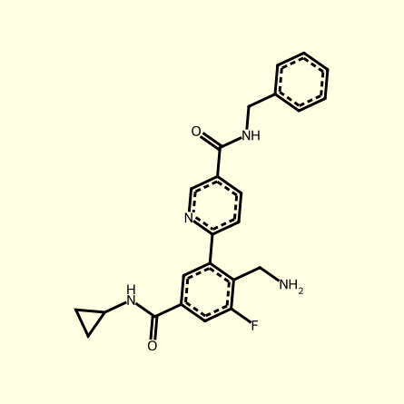 NCc1c(F)cc(C(=O)NC2CC2)cc1-c1ccc(C(=O)NCc2ccccc2)cn1